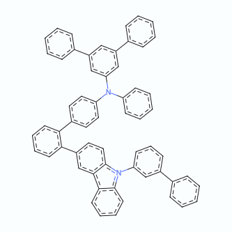 c1ccc(-c2cc(-c3ccccc3)cc(N(c3ccccc3)c3ccc(-c4ccccc4-c4ccc5c(c4)c4ccccc4n5-c4cccc(-c5ccccc5)c4)cc3)c2)cc1